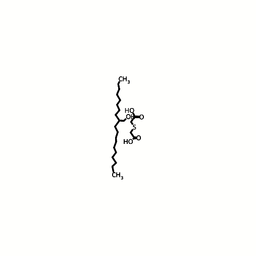 CCCCCCCCCCC(CO)CCCCCCCC.O=C(O)CSCC(=O)O